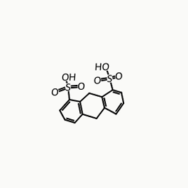 O=S(=O)(O)c1cccc2c1Cc1c(cccc1S(=O)(=O)O)C2